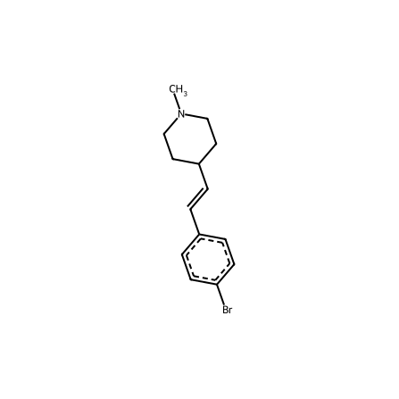 CN1CCC(C=Cc2ccc(Br)cc2)CC1